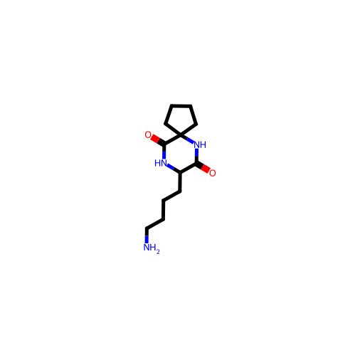 NCCCCC1NC(=O)C2(CCCC2)NC1=O